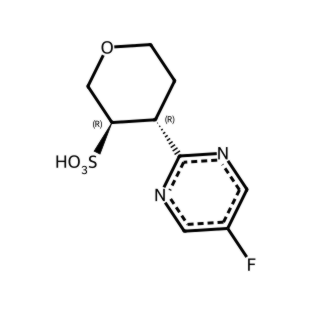 O=S(=O)(O)[C@H]1COCC[C@@H]1c1ncc(F)cn1